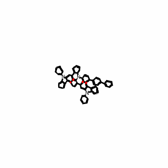 c1ccc(-c2ccc(-c3ccc(N(c4ccccc4-c4ccc5c6ccccc6n(-c6ccccc6)c5c4)c4ccccc4-c4ccc5c6ccccc6n(-c6ccccc6)c5c4)cc3)cc2)cc1